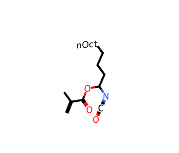 C=C(C)C(=O)OC(CCCCCCCCCCC)N=C=O